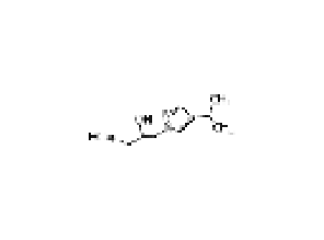 C#CCC(O)Cn1cc(C(C)C)cn1